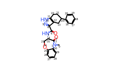 CN1C(=O)[C@@H](NC(=O)c2n[nH]c3c2CC(c2ccccc2)CC3)COc2ccccc21